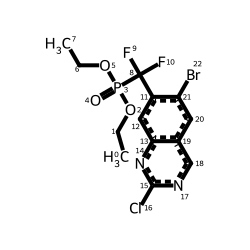 CCOP(=O)(OCC)C(F)(F)c1cc2nc(Cl)ncc2cc1Br